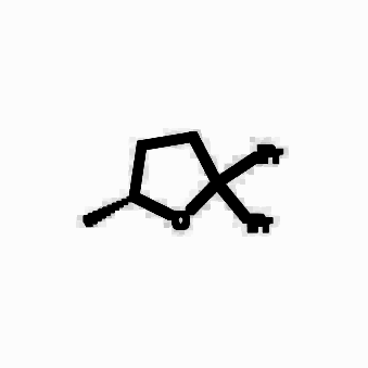 CC(C)C1(C(C)C)CC[C@@H](C)O1